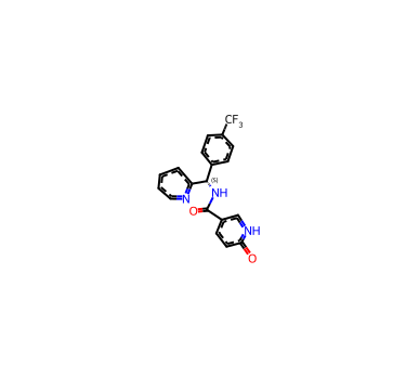 O=C(N[C@@H](c1ccc(C(F)(F)F)cc1)c1ccccn1)c1ccc(=O)[nH]c1